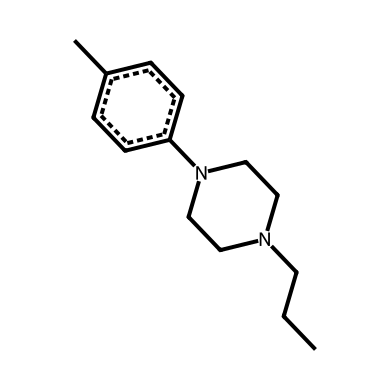 CCCN1CCN(c2ccc(C)cc2)CC1